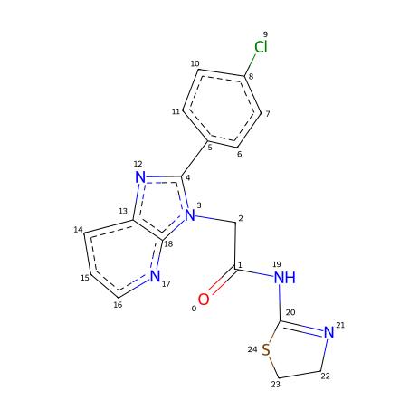 O=C(Cn1c(-c2ccc(Cl)cc2)nc2cccnc21)NC1=NCCS1